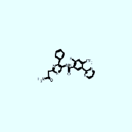 NC(=O)Cc1ncc(NC(=O)c2cc(-c3ncccn3)c(C(F)(F)F)cc2F)c(-c2ccccc2)n1